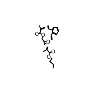 C=C(C)C(=O)OCC1CO1.C=C(C)C(=O)OCCCC.C=Cc1ccccc1C=C